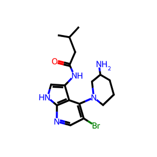 CC(C)CC(=O)Nc1c[nH]c2ncc(Br)c(N3CCCC(N)C3)c12